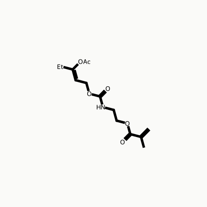 C=C(C)C(=O)OCCNC(=O)OC/C=C(/CC)OC(C)=O